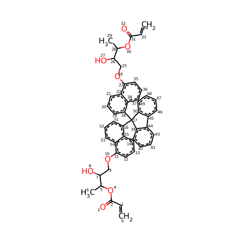 C=CC(=O)OC(C)C(O)COc1cccc2c(C3(c4cccc5c(OCC(O)C(C)OC(=O)C=C)cccc45)c4ccccc4-c4ccccc43)cccc12